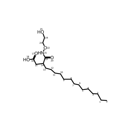 CCCCCCCCCCCCCCC(CC(=O)O)C(=O)NOCCO